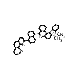 C[Si]1(C)c2ccccc2-c2c1ccc1nc(-c3cccc4c(-c5ccc6ccc7cccnc7c6n5)cccc34)c3ccccc3c21